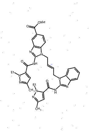 CCn1nc(C)cc1C(=O)Nc1nc2ccccc2n1C/C=C/Cn1c(NC(=O)c2cc(C)nn2CC)nc2cc(C(=O)OC)ccc21